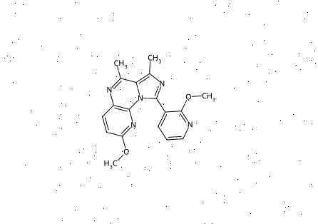 COc1ccc2nc(C)c3c(C)nc(-c4cccnc4OC)n3c2n1